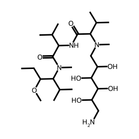 CCC(OC)C(C(C)C)N(C)C(=O)C(NC(=O)C(C(C)C)N(C)CC(O)C(O)C(O)C(O)CN)C(C)C